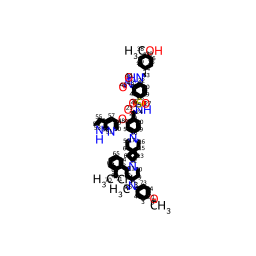 COc1ccc(N(C)C2CCN(C3CC4(CCN(c5ccc(C(=O)NS(=O)(=O)c6ccc(NC[C@H]7CC[C@](C)(O)CC7)c([N+](=O)[O-])c6)c(Oc6cnc7[nH]ccc7c6)c5)CC4)C3)C(c3ccccc3C(C)C)C2)cc1